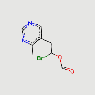 Cc1ncncc1CC(Br)OC=O